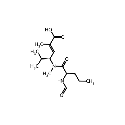 CCC[C@@H](NC=O)C(=O)N(C)[C@H](/C=C(\C)C(=O)O)C(C)C